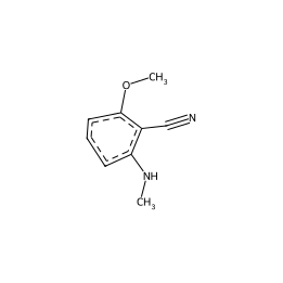 CNc1cccc(OC)c1C#N